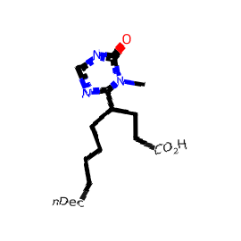 CCCCCCCCCCCCCCC(CCC(=O)O)c1ncnc(=O)n1C